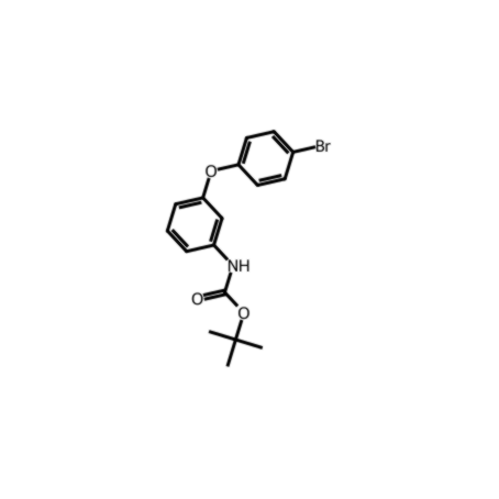 CC(C)(C)OC(=O)Nc1cccc(Oc2ccc(Br)cc2)c1